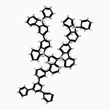 c1ccc(-c2cc(-c3ccccc3)cc(-c3cccc(-c4ccnc5c(-n6c7ccccc7c7cc(-c8ccc9c(c8)c8ccccc8n9-c8ccccc8)ccc76)cc(-n6c7ccccc7c7cc(-c8ccc9c(c8)c8ccccc8n9-c8ccccc8)ccc76)nc45)c3)c2)cc1